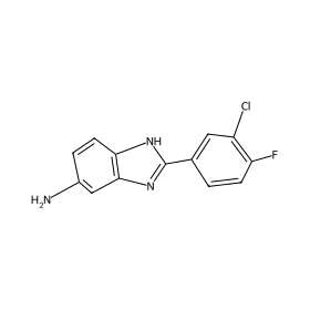 Nc1ccc2[nH]c(-c3ccc(F)c(Cl)c3)nc2c1